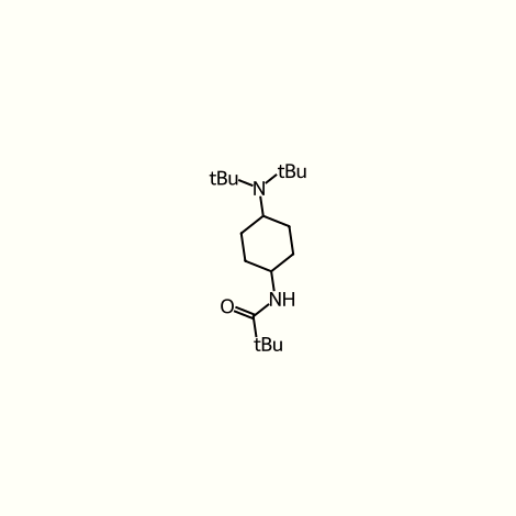 CC(C)(C)C(=O)NC1CCC(N(C(C)(C)C)C(C)(C)C)CC1